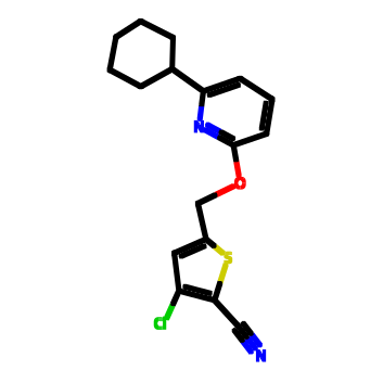 N#Cc1sc(COc2cccc(C3CCCCC3)n2)cc1Cl